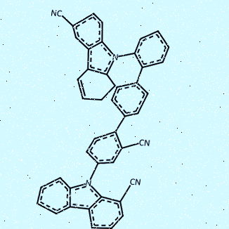 N#Cc1ccc2c(c1)c1c(n2-c2ccccc2-c2ccc(-c3ccc(-n4c5ccccc5c5cccc(C#N)c54)cc3C#N)cc2)CCC=C1